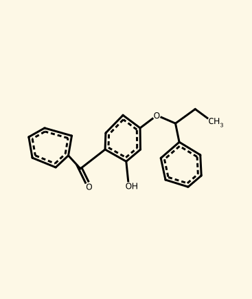 CCC(Oc1ccc(C(=O)c2ccccc2)c(O)c1)c1ccccc1